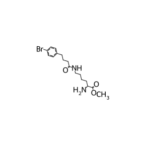 COC(=O)[C@@H](N)CCCCNC(=O)CCCc1ccc(Br)cc1